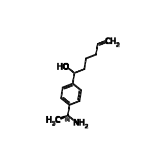 C=CCCCC(O)c1ccc([C@H](C)N)cc1